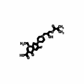 C=C(C)C(=O)OCC(O)CN1CCN(c2cc3c(cc2F)c(=O)c(C(=O)O)cn3CC)CC1